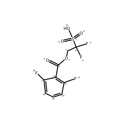 O=C(OCC(F)(F)S(=O)(=O)O)c1c(F)cccc1F